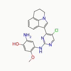 COc1cc(O)c(N)cc1Nc1ncc(Cl)c(-c2cn3c4c(cccc24)CCC3)n1